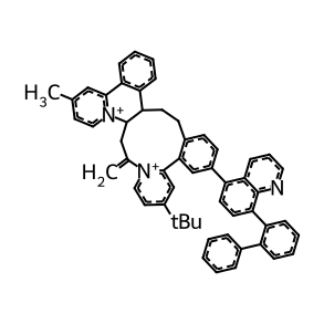 C=C1CC2C(CCc3ccc(-c4ccc(-c5ccccc5-c5ccccc5)c5ncccc45)cc3-c3cc(C(C)(C)C)cc[n+]31)c1ccccc1-c1cc(C)cc[n+]12